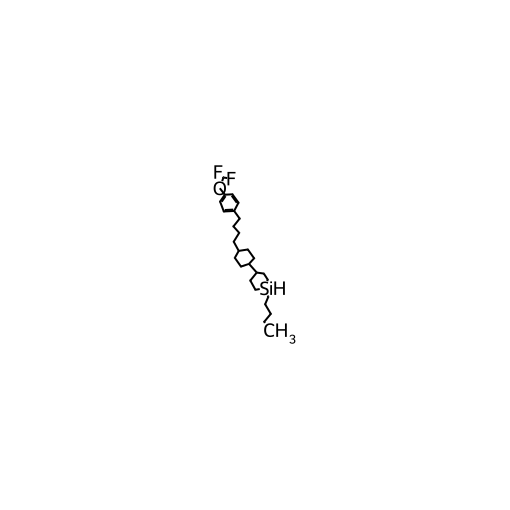 CCCCC[SiH]1CCC(C2CCC(CCCCc3ccc(OC(F)F)cc3)CC2)CC1